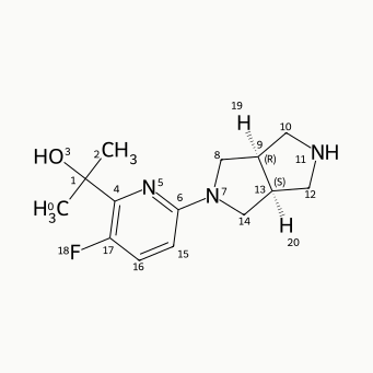 CC(C)(O)c1nc(N2C[C@H]3CNC[C@H]3C2)ccc1F